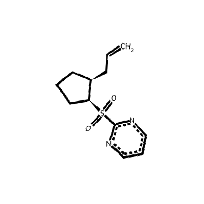 C=CC[C@@H]1CCC[C@@H]1S(=O)(=O)c1ncccn1